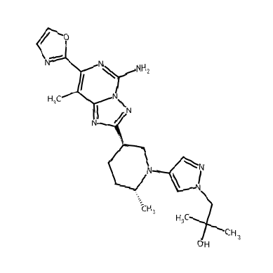 Cc1c(-c2ncco2)nc(N)n2nc([C@@H]3CC[C@@H](C)N(c4cnn(CC(C)(C)O)c4)C3)nc12